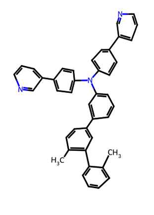 Cc1ccccc1-c1cc(-c2cccc(N(c3ccc(-c4cccnc4)cc3)c3ccc(-c4cccnc4)cc3)c2)ccc1C